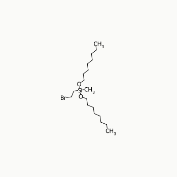 CCCCCCCCO[Si](C)(CCBr)OCCCCCCCC